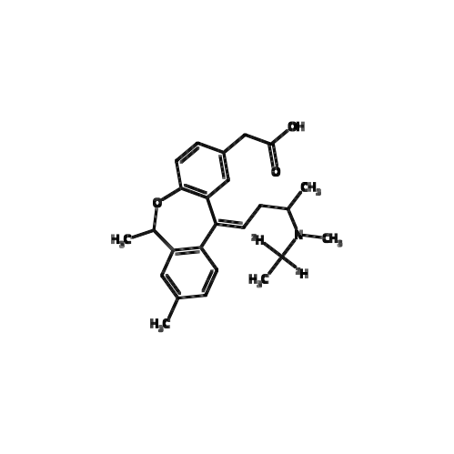 [2H]C([2H])(C)N(C)C(C)C/C=C1\c2cc(CC(=O)O)ccc2OC(C)c2cc(C)ccc21